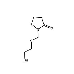 O=C1CCCN1COCCO